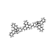 O=P(c1ccc(-c2ccc3c4ccc(-c5ccc(P(=O)(c6ccc7ccccc7c6)c6ccc7ccccc7c6)cc5)cc4c4ccccc4c3c2)cc1)(c1ccc2ccccc2c1)c1ccc2ccccc2c1